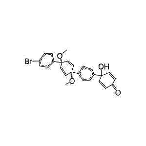 CO[C@]1(c2ccc(Br)cc2)C=C[C@@](OC)(c2ccc(C3(O)C=CC(=O)C=C3)cc2)C=C1